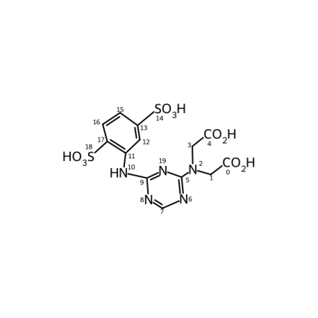 O=C(O)CN(CC(=O)O)c1ncnc(Nc2cc(S(=O)(=O)O)ccc2S(=O)(=O)O)n1